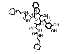 C=C(c1ccc(O)c(O)c1)N(CC(O)C(Cc1ccccc1)NC(=O)[C@@H](NC(=O)NCCN1CCOCC1)C(C)C)NC(=O)[C@@H](NC(=O)NCCN1CCOCC1)C(C)C